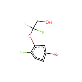 OCC(F)(F)Oc1cc(Br)ccc1F